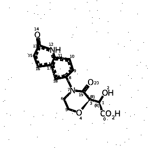 O=C(O)[C@H](O)[C@H]1OCCN(c2ccc3[nH]c(=O)ccc3c2)C1=O